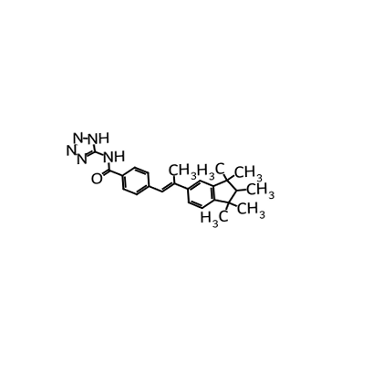 C/C(=C\c1ccc(C(=O)Nc2nnn[nH]2)cc1)c1ccc2c(c1)C(C)(C)C(C)C2(C)C